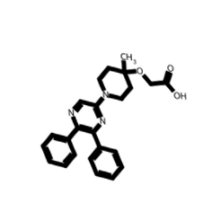 CC1(OCC(=O)O)CCN(c2cnc(-c3ccccc3)c(-c3ccccc3)n2)CC1